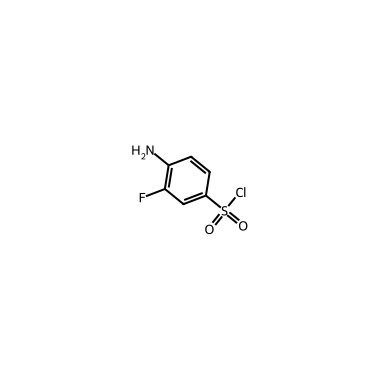 Nc1ccc(S(=O)(=O)Cl)cc1F